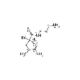 CCC(C)(CC(C)C(N)=O)C(=O)NCCCN